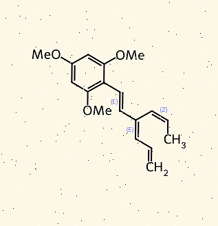 C=C/C=C(\C=C/C)/C=C/c1c(OC)cc(OC)cc1OC